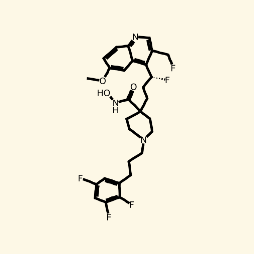 COc1ccc2ncc(CF)c([C@H](F)CCC3(C(=O)NO)CCN(CCCc4cc(F)cc(F)c4F)CC3)c2c1